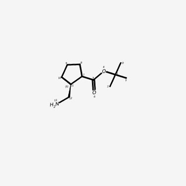 CC(C)(C)OC(=O)C1CCC[C@@H]1CN